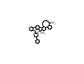 C=C1/C=C\C=C/Cc2c(ccc3c2-c2ccc4c5cnccc5n(-c5ncc(-c6ccccc6)cn5)c4c2C3(C)C)-c2ccccc21